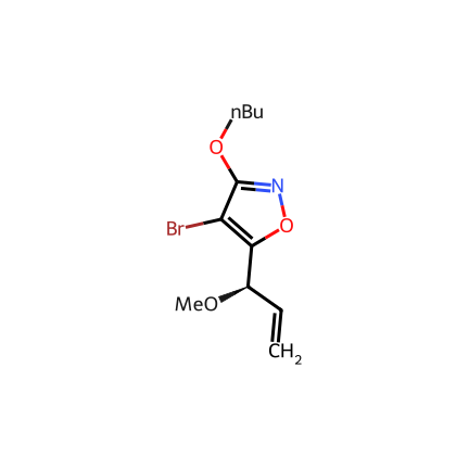 C=C[C@@H](OC)c1onc(OCCCC)c1Br